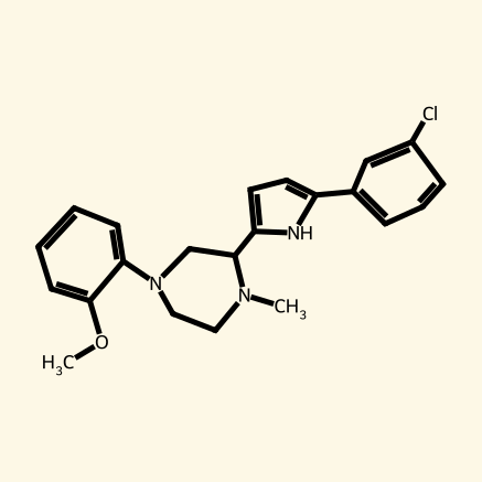 COc1ccccc1N1CCN(C)C(c2ccc(-c3cccc(Cl)c3)[nH]2)C1